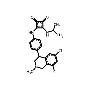 CC(C)Nc1c(Nc2ccc(C3CN(C)Cc4c(Cl)cc(Cl)cc43)cc2)c(=O)c1=O